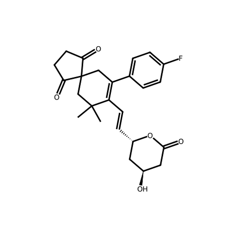 CC1(C)CC2(CC(c3ccc(F)cc3)=C1C=C[C@H]1C[C@H](O)CC(=O)O1)C(=O)CCC2=O